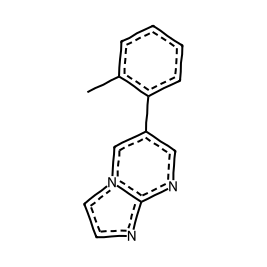 Cc1ccccc1-c1cnc2nccn2c1